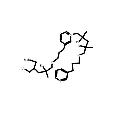 CCC(C)(COCCCc1ccc[n+](CC(C)(CC)CC(C)(CC)COCCCc2cccnc2)c1)CC(CN)CNC